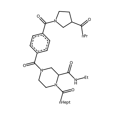 CCCCCCCC(=O)N1CCN(C(=O)c2ccc(C(=O)N3CCC(C(=O)CCC)C3)cc2)CC1C(=O)NCC